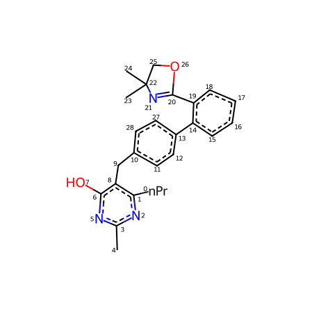 CCCc1nc(C)nc(O)c1Cc1ccc(-c2ccccc2C2=NC(C)(C)CO2)cc1